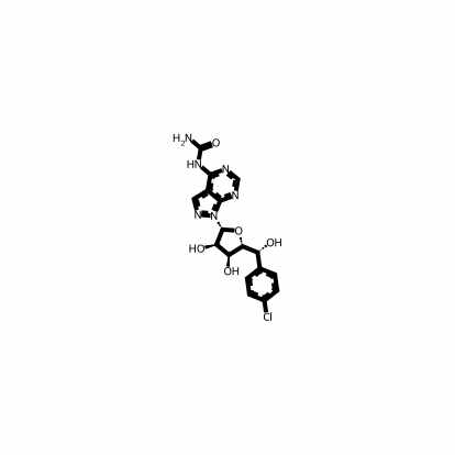 NC(=O)Nc1ncnc2c1cnn2[C@@H]1O[C@H]([C@H](O)c2ccc(Cl)cc2)[C@@H](O)[C@H]1O